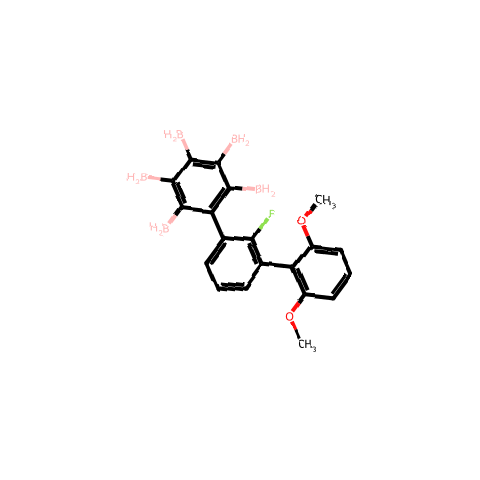 Bc1c(B)c(B)c(-c2cccc(-c3c(OC)cccc3OC)c2F)c(B)c1B